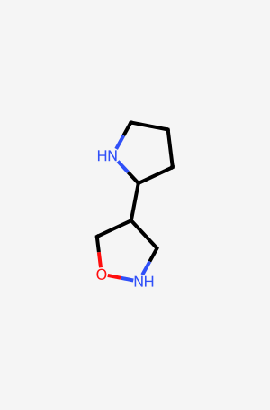 C1CNC(C2CNOC2)C1